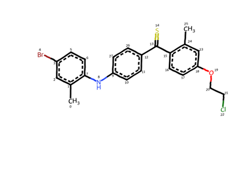 Cc1cc(Br)ccc1Nc1ccc(C(=S)c2ccc(OCCCl)cc2C)cc1